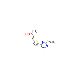 CSc1nccc(-c2ccc(C=CC(C)O)s2)n1